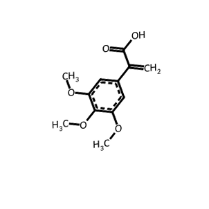 C=C(C(=O)O)c1cc(OC)c(OC)c(OC)c1